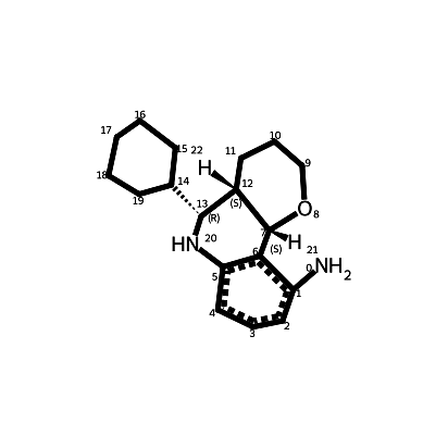 Nc1cccc2c1[C@H]1OCCC[C@H]1[C@@H](C1CCCCC1)N2